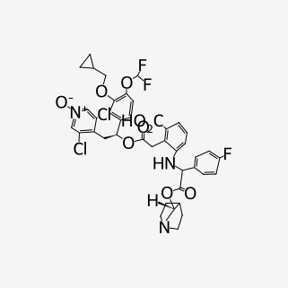 O=C(Cc1c(NC(C(=O)O[C@H]2CN3CCC2CC3)c2ccc(F)cc2)cccc1C(=O)O)O[C@@H](Cc1c(Cl)c[n+]([O-])cc1Cl)c1ccc(OC(F)F)c(OCC2CC2)c1